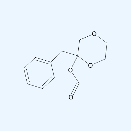 O=COC1(Cc2ccccc2)COCCO1